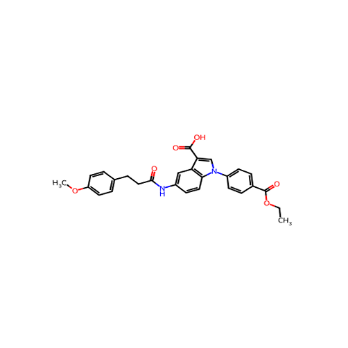 CCOC(=O)c1ccc(-n2cc(C(=O)O)c3cc(NC(=O)CCc4ccc(OC)cc4)ccc32)cc1